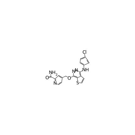 NC(=O)c1cc(COc2nnc(Nc3ccc(Cl)cc3)c3ccsc23)ccn1